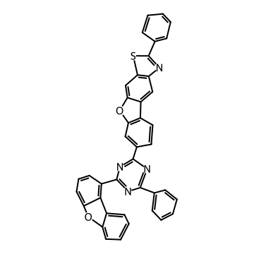 c1ccc(-c2nc(-c3ccc4c(c3)oc3cc5sc(-c6ccccc6)nc5cc34)nc(-c3cccc4oc5ccccc5c34)n2)cc1